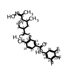 C/C(CC(C)CC(CC(C)C)C(C)Sc1cc(C(=O)Nc2cc(F)c(F)c(F)c2)ccc1Cl)=N/O